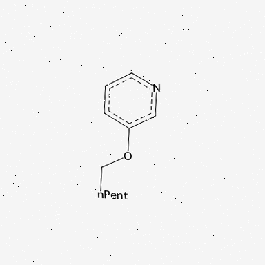 CCCCCCOc1cc[c]nc1